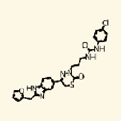 O=C(NCCCN1N=C(c2ccc3[nH]c(Cc4ccco4)nc3c2)CSC1=O)Nc1ccc(Cl)cc1